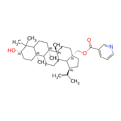 C=C(C)[C@@H]1CC[C@]2(COC(=O)c3cccnc3)CC[C@]3(C)C(CCC4[C@@]5(C)CC[C@H](O)C(C)(C)C5CC[C@]43C)C12